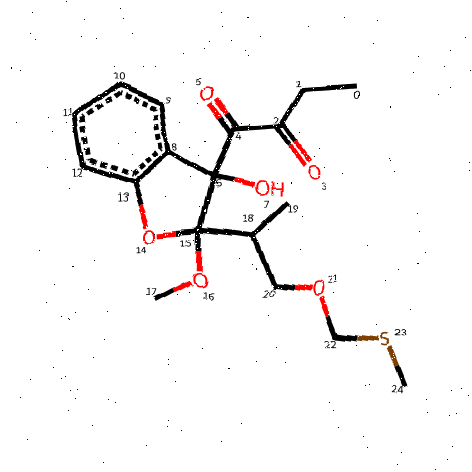 CCC(=O)C(=O)C1(O)c2ccccc2OC1(OC)C(C)COCSC